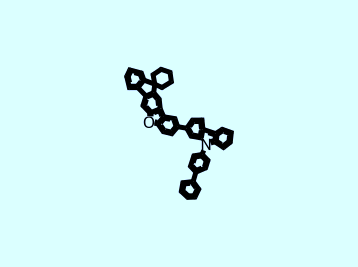 c1ccc(-c2ccc(-n3c4ccccc4c4ccc(-c5ccc6oc7cc8c(cc7c6c5)C5(CCCCC5)c5ccccc5-8)cc43)cc2)cc1